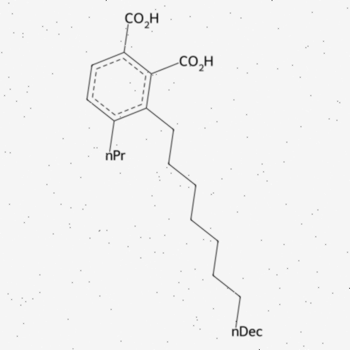 CCCCCCCCCCCCCCCCCc1c(CCC)ccc(C(=O)O)c1C(=O)O